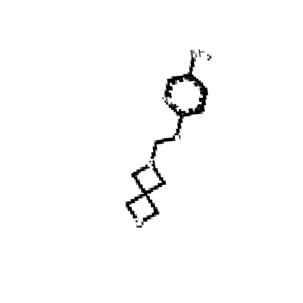 Nc1ccc(OCN2CC3(COC3)C2)nc1